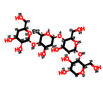 CC[C@H]1O[C@H](O[C@H]2[C@H](O)C[C@@H](O[C@H]3[C@H](O)[C@@H](O)CO[C@@H]3CO)O[C@@H]2CO)CC(O)[C@@H]1O[C@H]1O[C@H](CO)C[C@H](O)[C@H]1O